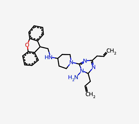 C=CCC1=NC(CC=C)N(N)C(N2CCC(NCC3c4ccccc4Oc4ccccc43)CC2)=N1